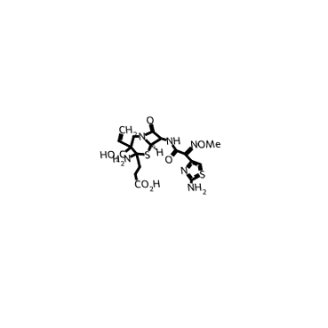 C=CC1(C(=O)O)CN2C(=O)C(NC(=O)C(=NOC)c3csc(N)n3)[C@H]2SC1(N)CCC(=O)O